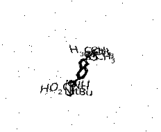 CC(C)(C)C1(c2ncc(-c3ccc4cc(B5OC(C)(C)C(C)(C)O5)ccc4c3)[nH]2)CCCN1C(=O)O